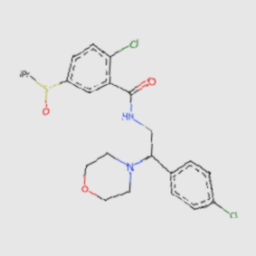 CC(C)[S+]([O-])c1ccc(Cl)c(C(=O)NCC(c2ccc(Cl)cc2)N2CCOCC2)c1